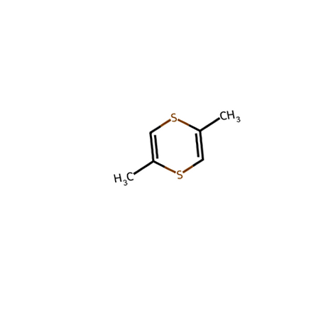 CC1=CSC(C)=CS1